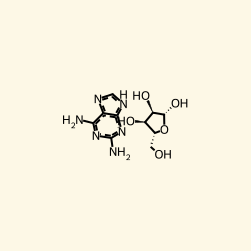 Nc1nc(N)c2nc[nH]c2n1.OC[C@H]1O[C@@H](O)[C@H](O)[C@@H]1O